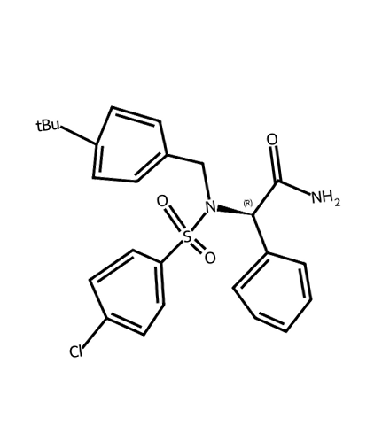 CC(C)(C)c1ccc(CN([C@@H](C(N)=O)c2ccccc2)S(=O)(=O)c2ccc(Cl)cc2)cc1